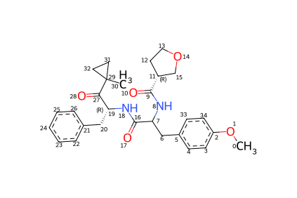 COc1ccc(CC(NC(=O)[C@@H]2CCOC2)C(=O)N[C@H](Cc2ccccc2)C(=O)C2(C)CC2)cc1